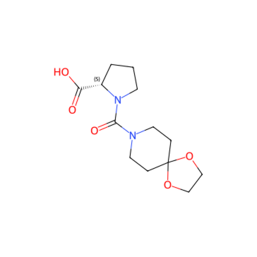 O=C(O)[C@@H]1CCCN1C(=O)N1CCC2(CC1)OCCO2